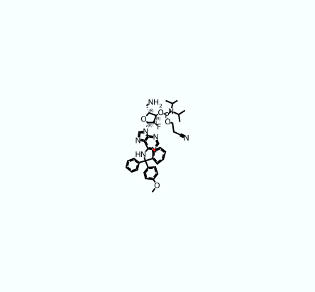 COc1ccc(C(Nc2ncnc3c2ncn3[C@@H]2O[C@H](CN)[C@@H](OP(OCCC#N)N(C(C)C)C(C)C)[C@H]2F)(c2ccccc2)c2ccccc2)cc1